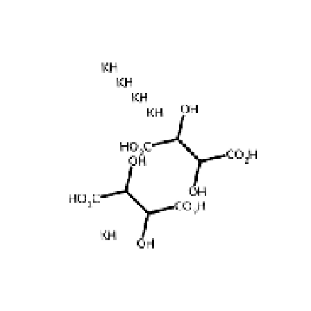 O=C(O)C(O)C(O)C(=O)O.O=C(O)C(O)C(O)C(=O)O.[KH].[KH].[KH].[KH].[KH]